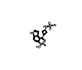 CCCS(=O)(=O)N[C@H]1C[C@@H](C2=NN(C)B(O)c3ccc4[nH]ccc4c32)C1